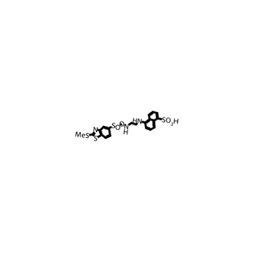 CSc1nc2cc(SOONCCNc3cccc4c(S(=O)(=O)O)cccc34)ccc2s1